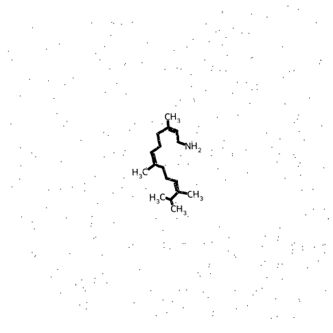 CC(=CCN)CCC=C(C)CCC=C(C)C(C)C